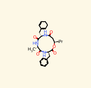 CC(C)[C@@H]1CC(=O)N[C@@H](CC2=CCCC=C2)C(=O)N[C@@H](C)C(=O)N[C@H](Cc2ccccc2)C(=O)O1